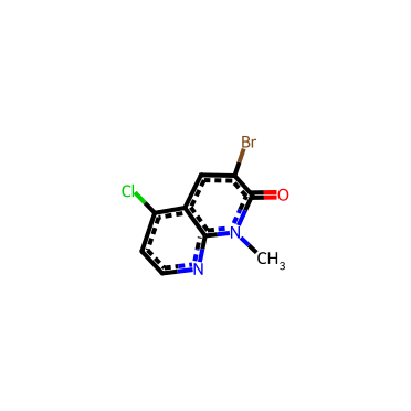 Cn1c(=O)c(Br)cc2c(Cl)ccnc21